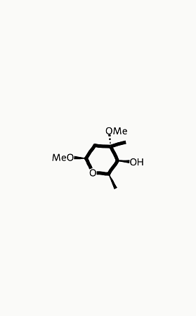 CO[C@H]1C[C@](C)(OC)[C@@H](O)[C@@H](C)O1